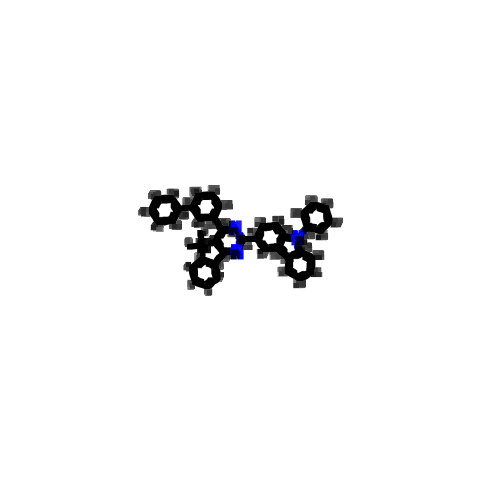 C[Si]1(C)c2ccccc2-c2nc(-c3ccc4c(c3)c3ccccc3n4-c3ccccc3)nc(-c3cccc(-c4ccccc4)c3)c21